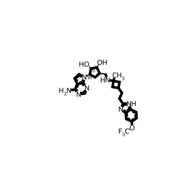 CC1(NC[C@H]2C[C@@H](n3ccc4c(N)ncnc43)[C@H](O)[C@@H]2O)CC(CCc2nc3cc(OC(F)(F)F)ccc3[nH]2)C1